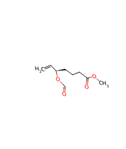 C=C[C@@H](CCCC(=O)OC)OC=O